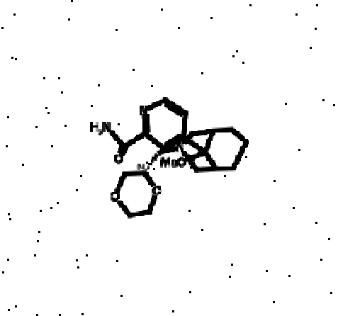 COC1(c2ccnc(C(N)=O)c2)C2CCCC1CN(C[C@H]1COCCO1)C2